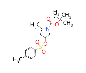 Cc1ccc(S(=O)(=O)OC2CC(C)N(C(=O)OC(C)(C)C)C2)cc1